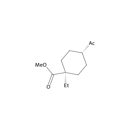 CC[C@]1(C(=O)OC)CC[C@H](C(C)=O)CC1